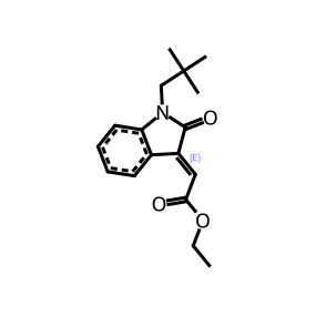 CCOC(=O)/C=C1/C(=O)N(CC(C)(C)C)c2ccccc21